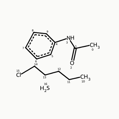 CC(=O)Nc1ccccc1.CCCCCCl.S